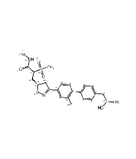 C[C@@H](O)Cc1ccc(-c2ccc(C3=NO[C@@H](CC(C(=O)NO)S(C)(=O)=O)C3)cc2F)cc1